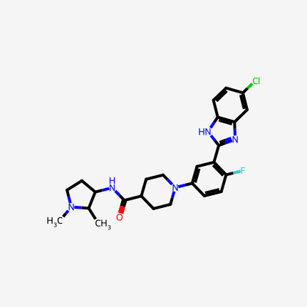 CC1C(NC(=O)C2CCN(c3ccc(F)c(-c4nc5cc(Cl)ccc5[nH]4)c3)CC2)CCN1C